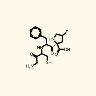 NCC(=O)C(CS)N[C@@H](Cc1ccccc1)C(=O)[C@@]1(C(=O)O)CC(F)CN1